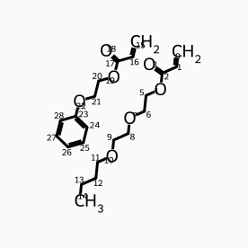 C=CC(=O)OCCOCCOCCCC.C=CC(=O)OCCOc1ccccc1